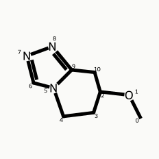 COC1CCn2cnnc2C1